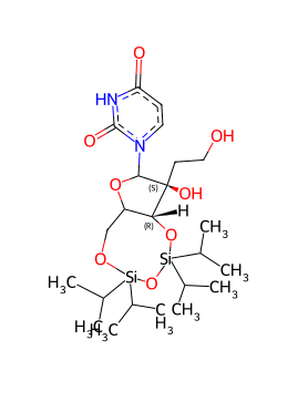 CC(C)[Si]1(C(C)C)OCC2OC(n3ccc(=O)[nH]c3=O)[C@](O)(CCO)[C@@H]2O[Si](C(C)C)(C(C)C)O1